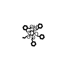 C=CCO[C@H]1O[C@H](C(O)c2ccccc2C)[C@@H](OCc2ccccc2)[C@H](OCc2ccccc2)[C@H]1OCc1ccccc1